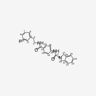 O=C(NCCc1cccc(F)c1)c1ccc(NC(=O)N2Cc3ccccc3C2)cc1